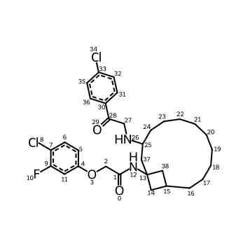 O=C(COc1ccc(Cl)c(F)c1)NC12CC(CCCCCCCCCC(NCC(=O)c3ccc(Cl)cc3)C1)C2